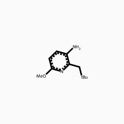 COc1ccc(N)c(CC(C)(C)C)n1